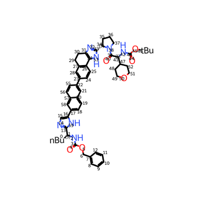 CCCC[C@H](NC(=O)OCc1ccccc1)c1ncc(-c2ccc3cc(-c4ccc5c(c4)CCc4nc([C@@H]6CCCN6C(=O)[C@@H](NC(=O)OC(C)(C)C)C6CCOCC6)[nH]c4-5)ccc3c2)[nH]1